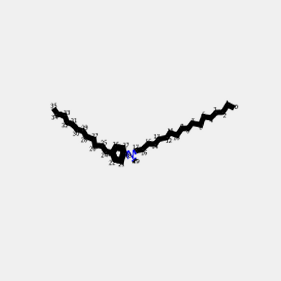 CCCCCCCCCCCCCCCCCCN(C)c1ccc(CCCCCCCCCCCC)cc1